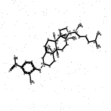 Cc1cc([N+](=O)O)ccc1O[C@H]1CC[C@@]2(C)C(=CC[C@H]3[C@@H]4CC[C@H]([C@H](C)CCCC(C)C)[C@@]4(C)CC[C@@H]32)C1